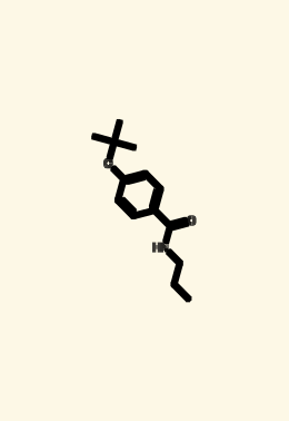 CCCNC(=O)c1ccc(OC(C)(C)C)cc1